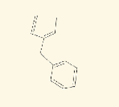 C=CC(=CC)Cc1ccccc1